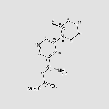 COC(=O)C[C@@H](N)c1cncc(N2CCCC[C@@H]2C)c1